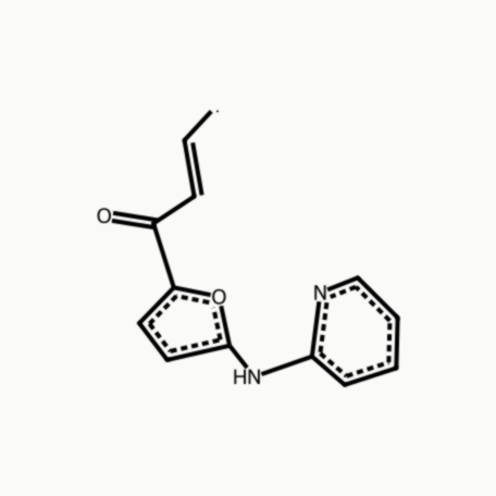 [CH2]C=CC(=O)c1ccc(Nc2ccccn2)o1